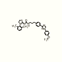 Cc1cccc(C)c1N1CCS/C1=N\C(=O)NCCCc1ccc(-c2ncn(-c3ccc(OC(F)(F)F)cc3)n2)cc1